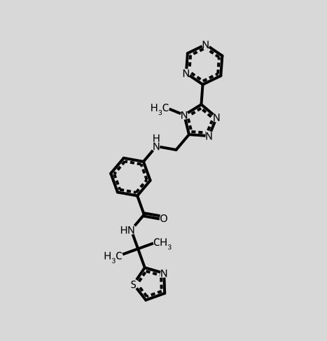 Cn1c(CNc2cccc(C(=O)NC(C)(C)c3nccs3)c2)nnc1-c1ccncn1